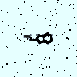 O=C(O)Nc1cc2ccccc2s1